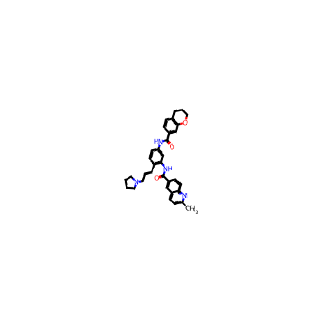 Cc1ccc2cc(C(=O)Nc3cc(NC(=O)c4ccc5c(c4)OCCC5)ccc3CCCN3CCCC3)ccc2n1